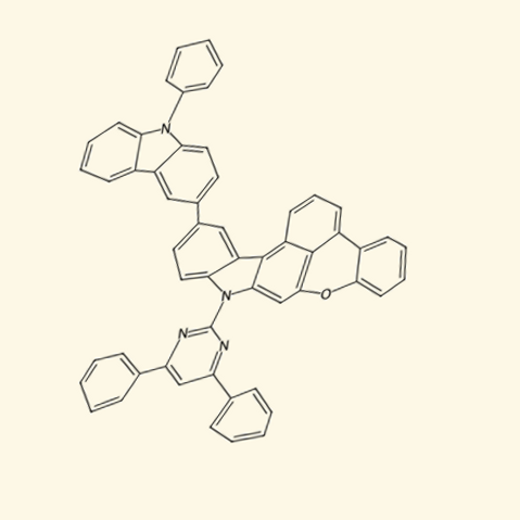 c1ccc(-c2cc(-c3ccccc3)nc(-n3c4ccc(-c5ccc6c(c5)c5ccccc5n6-c5ccccc5)cc4c4c5cccc6c5c(cc43)Oc3ccccc3-6)n2)cc1